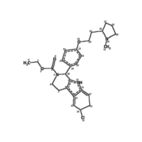 CCOC(=O)N1CCc2c([nH]c3c2=CC(Cl)CC=3)C1c1ccc(OCCC2CCCN2C)cc1